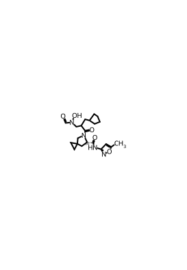 Cc1cc(NC(=O)[C@@H]2CC3(CC3)CN2C(=O)C(CC2CCCC2)CN(O)C=O)no1